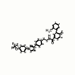 Cc1ccccc1-c1cc(C(=O)NCCc2ccc(-c3ncn(-c4ccc(OC(F)(F)F)cc4)n3)cc2)ccc1F